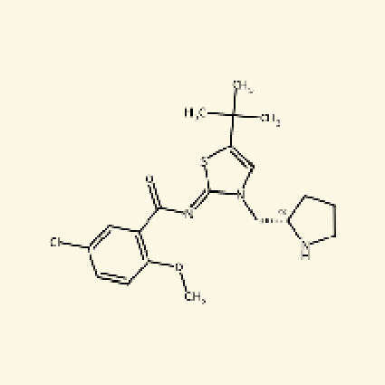 COc1ccc(Cl)cc1C(=O)N=c1sc(C(C)(C)C)cn1C[C@@H]1CCCN1